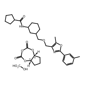 Cc1cccc(-c2nc(COCC3CCCC(NC(=O)C4CCCC4)C3)c(C)o2)c1.O=C(O)O.O=C1OC(=O)O[C@@H]2CCC[C@@H]2O1